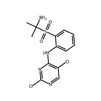 BC(C)(C)S(=O)(=O)c1ccccc1Nc1nc(Cl)ncc1Cl